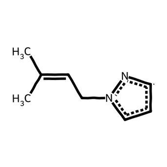 CC(C)=CCn1cc[c]n1